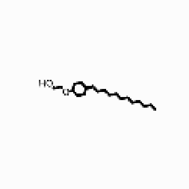 CCCCCCCCCCCC=C1CCC(OCCO)CC1